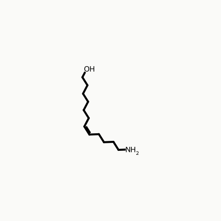 NCCCC/C=C\CCCCCCO